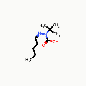 CCCC/C=N\N(C(=O)O)C(C)(C)C